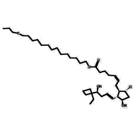 CCCCCCCCCCCCCCCCCCOC(=O)CCC/C=C\C[C@@H]1[C@@H](/C=C/C[C@H](O)C2(CC)CCC2)[C@H](O)C[C@H]1Cl